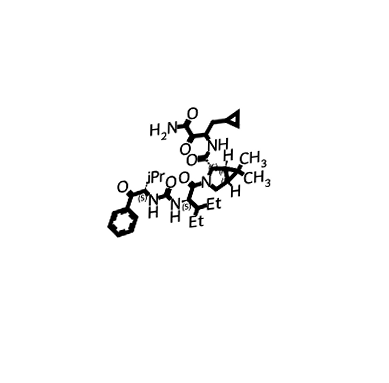 CCC(CC)[C@H](NC(=O)N[C@H](C(=O)c1ccccc1)C(C)C)C(=O)N1C[C@H]2[C@@H]([C@H]1C(=O)NC(CC1CC1)C(=O)C(N)=O)C2(C)C